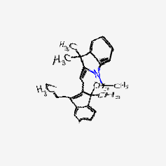 CCC1=C(/C=C2\N(CC)c3ccccc3C2(C)C)C(C)(C)c2ccccc21